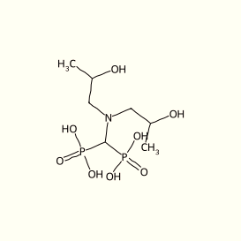 CC(O)CN(CC(C)O)C(P(=O)(O)O)P(=O)(O)O